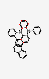 c1ccc(-c2ccccc2N(c2ccccc2)c2c(N(c3ccccc3)c3ccccc3)ccc3c2sc2ccc4ccccc4c23)cc1